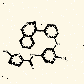 Cc1ccc(NC(=O)c2ccc(C(C)(C)C)o2)cc1Nc1nccc(-c2cncc3ccccc23)n1